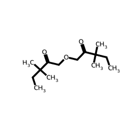 CCC(C)(C)C(=O)COCC(=O)C(C)(C)CC